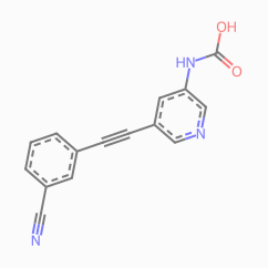 N#Cc1cccc(C#Cc2cncc(NC(=O)O)c2)c1